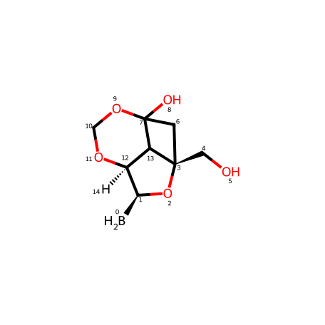 B[C@@H]1O[C@@]2(CO)CC3(O)OCO[C@H]1C32